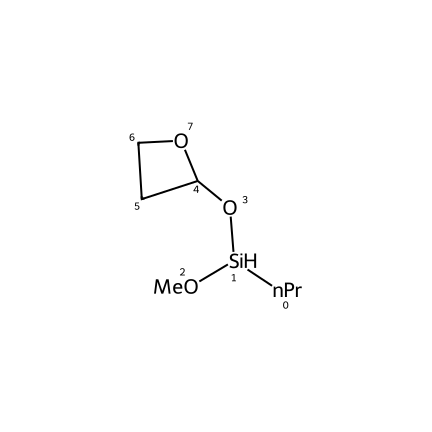 CCC[SiH](OC)OC1CCO1